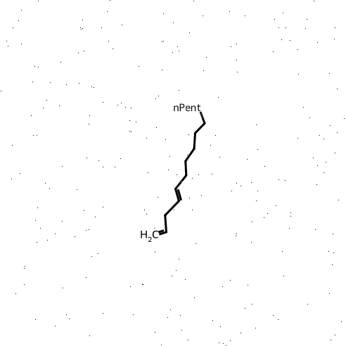 [CH2]CCCCCCCCCC=CCC=C